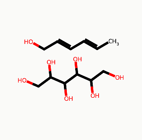 C/C=C/C=C/CO.OCC(O)C(O)C(O)C(O)CO